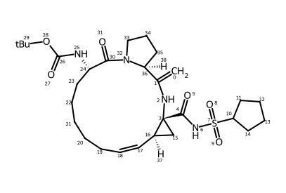 C=C1N[C@]2(C(=O)NS(=O)(=O)C3CCCC3)C[C@H]2/C=C\CCCCC[C@H](NC(=O)OC(C)(C)C)C(=O)N2CCC[C@@H]12